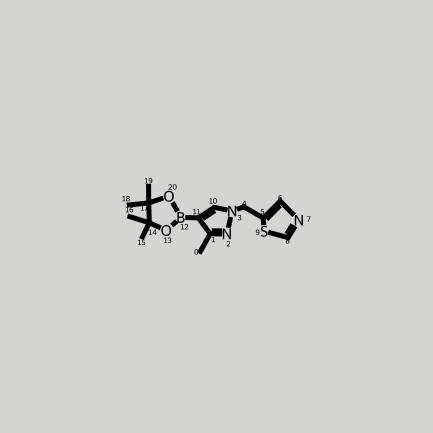 Cc1nn(Cc2cncs2)cc1B1OC(C)(C)C(C)(C)O1